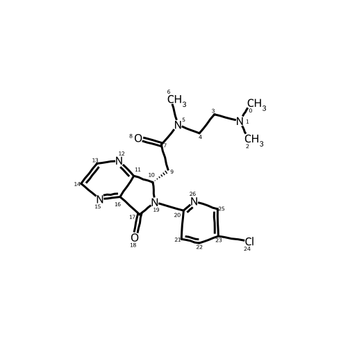 CN(C)CCN(C)C(=O)C[C@H]1c2nccnc2C(=O)N1c1ccc(Cl)cn1